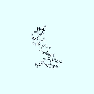 CN(C)C(C(=O)N[C@H]1CC[C@@H](Nc2cc(C(F)(F)F)nc3ccc(Cl)cc23)CC1)c1cnn(C)c1